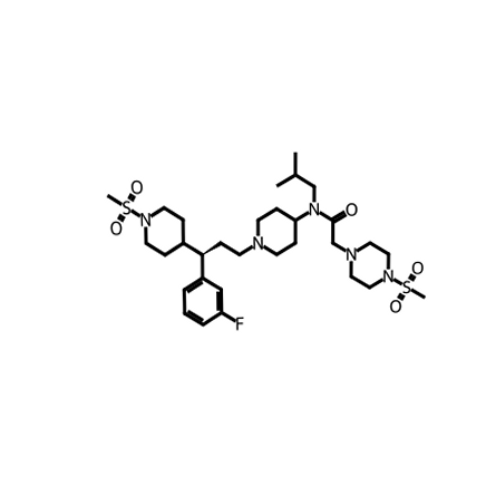 CC(C)CN(C(=O)CN1CCN(S(C)(=O)=O)CC1)C1CCN(CC[C@@H](c2cccc(F)c2)C2CCN(S(C)(=O)=O)CC2)CC1